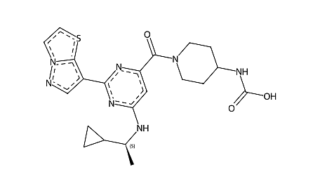 C[C@H](Nc1cc(C(=O)N2CCC(NC(=O)O)CC2)nc(-c2cnn3ccsc23)n1)C1CC1